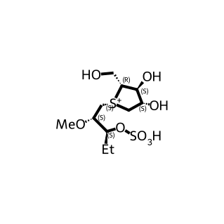 CC[C@H](OS(=O)(=O)O)[C@@H](C[S@@+]1C[C@@H](O)[C@H](O)[C@H]1CO)OC